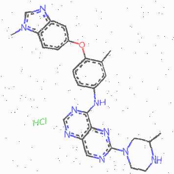 Cc1cc(Nc2ncnc3cnc(N4CCNC(C)C4)nc23)ccc1Oc1ccc2c(c1)ncn2C.Cl